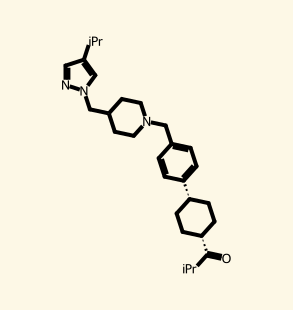 CC(C)c1cnn(CC2CCN(Cc3ccc([C@H]4CC[C@@H](C(=O)C(C)C)CC4)cc3)CC2)c1